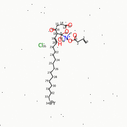 C=CCC(=O)O[N+](C)(C)C1(O)OC(=O)CCC(=O)C1C=CCCCCCCCCCCCCCC(C)C.[Cl-]